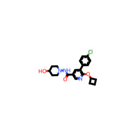 O=C(NN1CCC(O)CC1)c1cnc(OC2CCC2)c(-c2ccc(Cl)cc2)c1